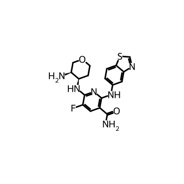 NC(=O)c1cc(F)c(N[C@@H]2CCOC[C@@H]2N)nc1Nc1ccc2scnc2c1